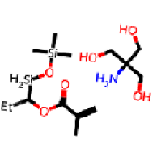 C=C(C)C(=O)OC(CC)[SiH2]O[Si](C)(C)C.NC(CO)(CO)CO